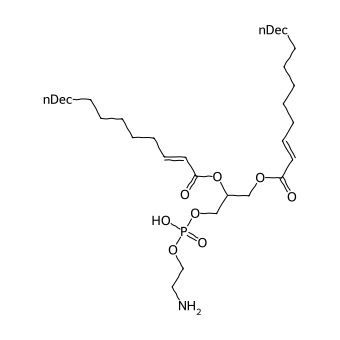 CCCCCCCCCCCCCCCC=CC(=O)OCC(COP(=O)(O)OCCN)OC(=O)C=CCCCCCCCCCCCCCCC